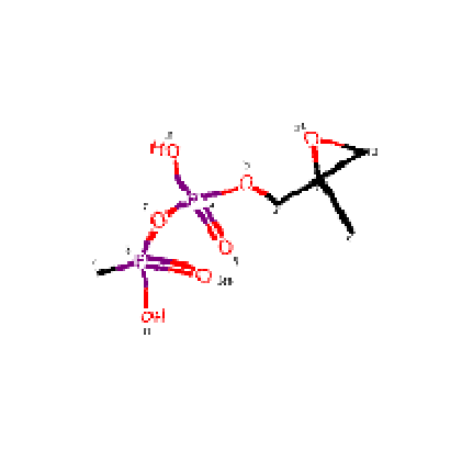 CC1(COP(=O)(O)OP(C)(=O)O)CO1